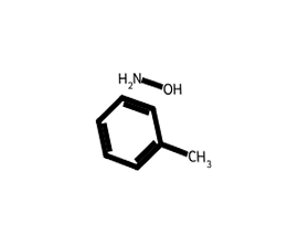 Cc1ccccc1.NO